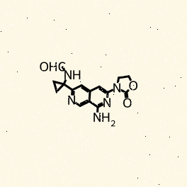 Nc1nc(N2CCOC2=O)cc2cc(C3(NC=O)CC3)ncc12